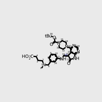 CN(CCCC(=O)O)Cc1cccc(N/C=C2\C(=O)Nc3ncnc(N4CCN(C(=O)OC(C)(C)C)CC4)c32)c1